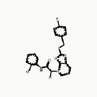 CCC(C(=O)Nc1ccccc1Cl)n1cccc2nc(SCc3ccc(F)cc3)nc1-2